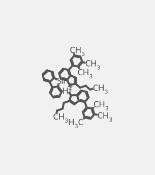 CCCCC1=Cc2c(-c3cc(C)cc(C)c3C)cccc2[CH]1[Hf]([c]1cccc2c1[SiH2]c1ccccc1-2)[CH]1C(CCCC)=Cc2c(-c3cc(C)cc(C)c3C)cccc21